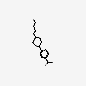 CCCCCC1CCC(c2ccc(C(F)F)cc2)CC1